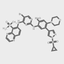 COc1cc(N2CCOCC2)c(-c2cnn(S(=O)(=O)C3CC3)c2)cc1Nc1ncc(Br)c(Nc2ccc3nccnc3c2P(C)(C)=O)n1